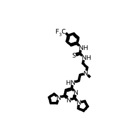 CN(CCNC(=S)Nc1ccc(C(F)(F)F)cc1)CCNc1cc(N2CCCC2)nc(N2CCCC2)n1